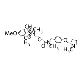 COc1cc(C)c(S(=O)(=O)N(C)CCOCC(=O)N(C)Cc2ccc(OCC3CCCN3C)cc2)c(C)c1